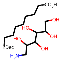 CCCCCCCCCCCCCCCCCC(=O)O.NCC(O)C(O)C(O)C(O)CO